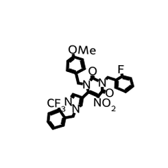 COc1ccc(Cn2c(-c3cnn(Cc4ccccc4C(F)(F)F)c3)c([N+](=O)[O-])c(=O)n(Cc3ccccc3F)c2=O)cc1